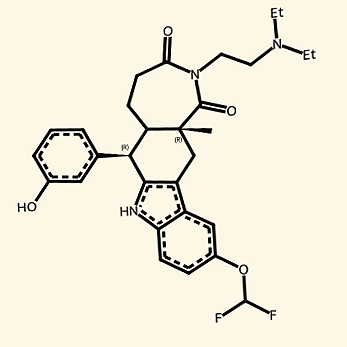 CCN(CC)CCN1C(=O)CCC2[C@H](c3cccc(O)c3)c3[nH]c4ccc(OC(F)F)cc4c3C[C@@]2(C)C1=O